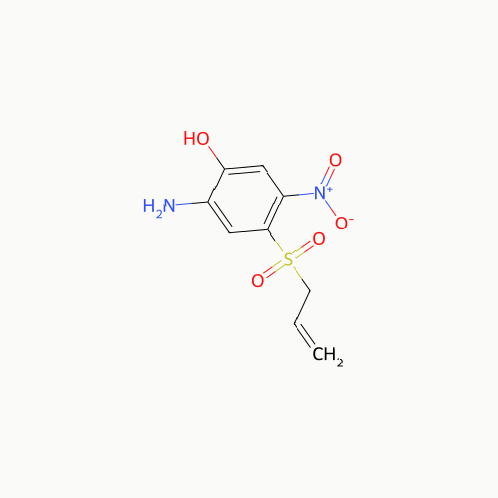 C=CCS(=O)(=O)c1cc(N)c(O)cc1[N+](=O)[O-]